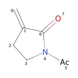 C=C1CCN(C(C)=O)C1=O